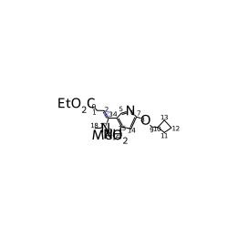 CCOC(=O)C/C=C(/c1cnc(OCC2CCC2)cc1OC)N(C)N